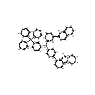 c1ccc(C2(c3ccccc3)c3ccccc3-c3ccc(N(c4ccc(-c5cccc6c5oc5ccccc56)cc4)c4cccc(-c5ccc6ccccc6c5)c4)cc32)cc1